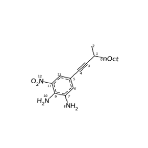 CCCCCCCCC(C)C#Cc1cc(N)c(N)c([N+](=O)[O-])c1